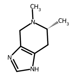 C[C@@H]1Cc2[nH]cnc2CN1C